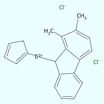 Cc1ccc2c(c1C)[CH]([Ti+2][C]1=CC=CC1)c1ccccc1-2.[Cl-].[Cl-]